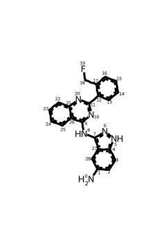 Nc1ccc2[nH]nc(Nc3nc(-c4ccccc4CF)nc4ccccc34)c2c1